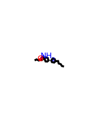 CCCCCC1CCC([C@H]2CC[C@@](CCCCC)(C(N)=O)CC2)CC1